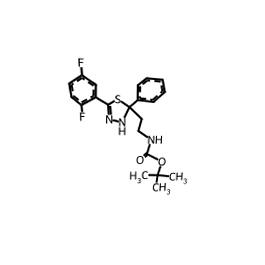 CC(C)(C)OC(=O)NCCC1(c2ccccc2)NN=C(c2cc(F)ccc2F)S1